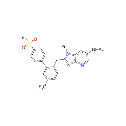 CCS(=O)(=O)c1ccc(-c2cc(C(F)(F)F)ccc2Cc2nc3ncc(NC(C)=O)cc3n2C(C)C)cc1